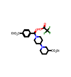 CCOC(=O)c1ccc(C(=O)N2CCC(N3CCCC(C(=O)OCC)C3)CC2)cc1.O=C(O)C(F)(F)F